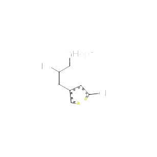 CCCCCCCCC(CC)Cc1csc(C)c1